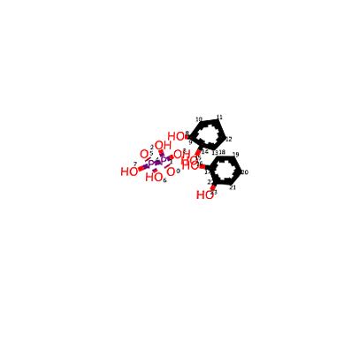 O=P(O)(O)P(=O)(O)O.Oc1ccccc1O.Oc1ccccc1O